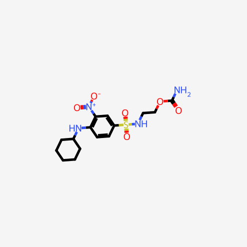 NC(=O)OCCNS(=O)(=O)c1ccc(NC2CCCCC2)c([N+](=O)[O-])c1